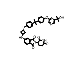 CC(C)(O)c1cncc(Oc2ccc(C(C)(C)c3ccc(O[C@H]4C[C@H](Nc5ccc6c(c5)C(=O)N(C5CCC(=O)NC5=O)C6=O)C4)cc3)cc2)n1